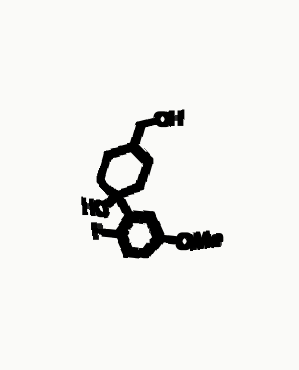 COc1ccc(F)c(C2(O)CCC(CO)CC2)c1